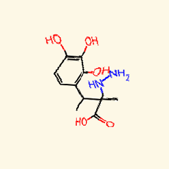 CC(c1ccc(O)c(O)c1O)C(C)(NN)C(=O)O